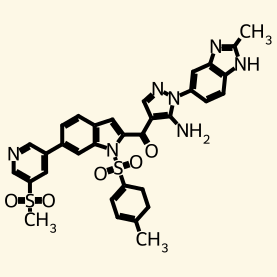 CC1=CC=C(S(=O)(=O)n2c(C(=O)c3cnn(-c4ccc5[nH]c(C)nc5c4)c3N)cc3ccc(-c4cncc(S(C)(=O)=O)c4)cc32)CC1